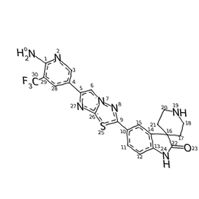 Nc1ncc(-c2cn3nc(-c4ccc5c(c4)C4(CCNCC4)C(=O)N5)sc3n2)cc1C(F)(F)F